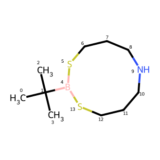 CC(C)(C)B1SCCCNCCCS1